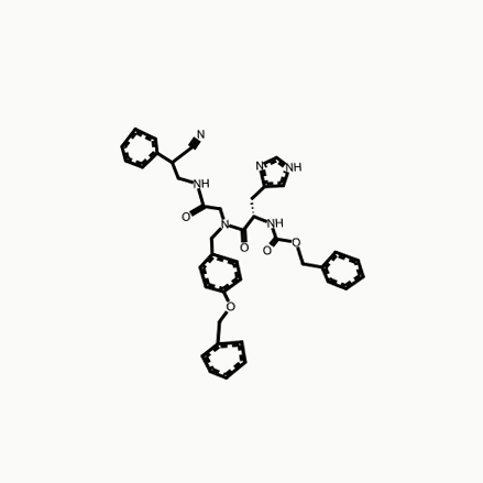 N#CC(CNC(=O)CN(Cc1ccc(OCc2ccccc2)cc1)C(=O)[C@H](Cc1c[nH]cn1)NC(=O)OCc1ccccc1)c1ccccc1